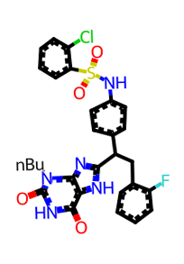 CCCCn1c(=O)[nH]c(=O)c2[nH]c(C(Cc3ccccc3F)c3ccc(NS(=O)(=O)c4ccccc4Cl)cc3)nc21